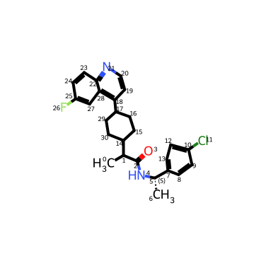 CC(C(=O)N[C@@H](C)c1ccc(Cl)cc1)C1CCC(c2ccnc3ccc(F)cc23)CC1